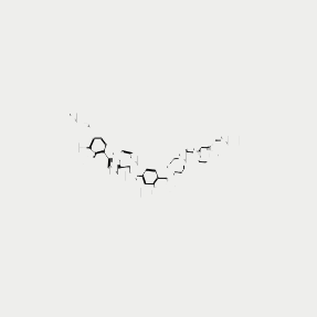 Cc1cc(Nc2nccn3c(-c4ccc(OCC#N)c(F)c4Cl)cnc23)ccc1C(=O)N1CCN(C(=O)N2CCO[C@H](CN)C2)CC1